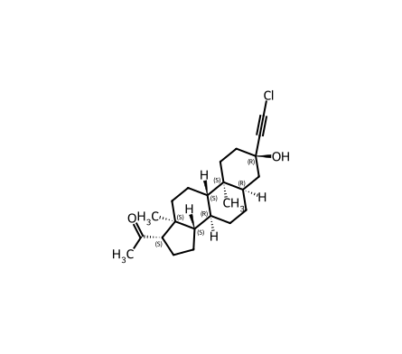 CC(=O)[C@H]1CC[C@H]2[C@@H]3CC[C@@H]4C[C@@](O)(C#CCl)CC[C@]4(C)[C@H]3CC[C@]12C